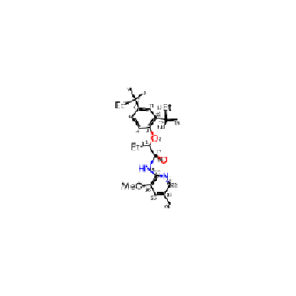 CCC(Oc1ccc(C(C)(C)CC)cc1C(C)(C)CC)C(=O)Nc1ncc(C)cc1OC